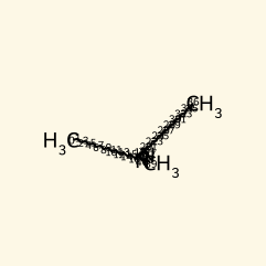 CCCCCCCCCCCCCCCCCc1cc(CCCCCCCCCCCCCCCCC)nc(C)n1